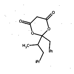 CC(C)CC(C)C1(CC(C)C)OC(=O)CC(=O)O1